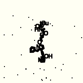 CC(NC(=O)OC(C)(C)C)C(=O)OCCCOc1ccc(C#CC2(O)CN3CCC2CC3)c(Cc2ccccc2)n1